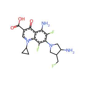 Nc1c(F)c(N2CC(N)C(CF)C2)c(F)c2c1c(=O)c(C(=O)O)cn2C1CC1